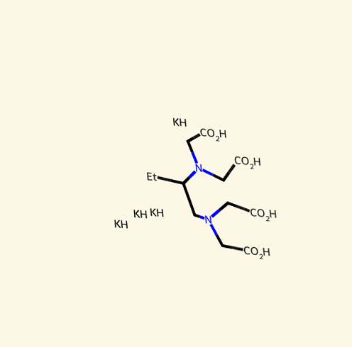 CCC(CN(CC(=O)O)CC(=O)O)N(CC(=O)O)CC(=O)O.[KH].[KH].[KH].[KH]